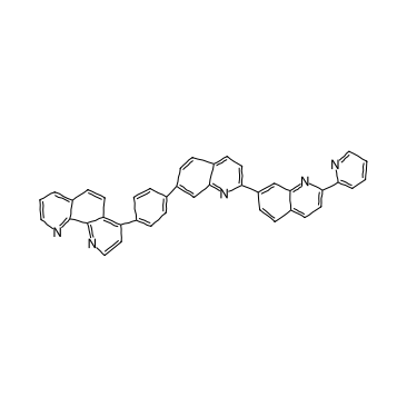 c1ccc(-c2ccc3ccc(-c4ccc5ccc(-c6ccc(-c7ccnc8c7ccc7cccnc78)cc6)cc5n4)cc3n2)nc1